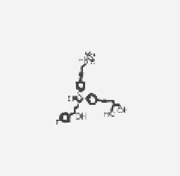 CS(=O)(=O)NCCC#Cc1ccc(N2C(=O)[C@H](CC[C@H](O)c3ccc(F)cc3)[C@H]2c2ccc(C#CCC(CO)CO)cc2)cc1